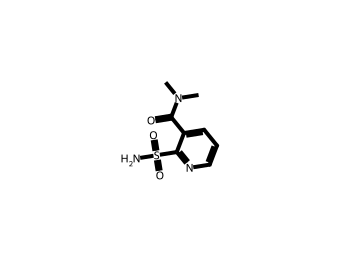 CN(C)C(=O)c1cccnc1S(N)(=O)=O